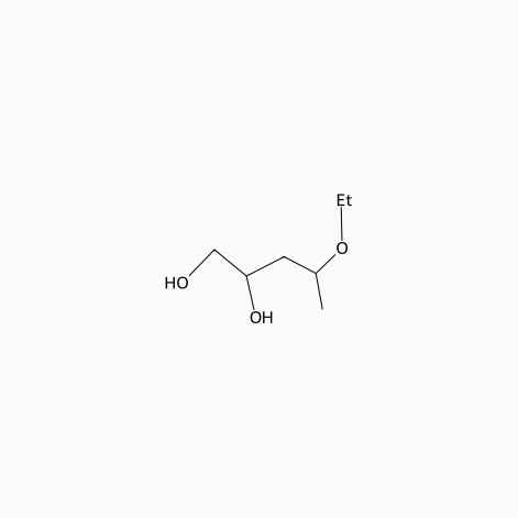 CCOC(C)CC(O)CO